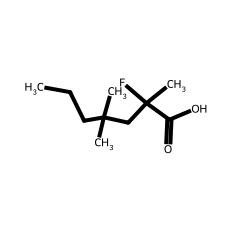 CCCC(C)(C)CC(C)(F)C(=O)O